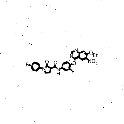 CCOc1cc2ncnc(Oc3ccc(NC(=O)C4CCN(c5ccc(F)cc5)C4=O)cc3F)c2cc1[N+](=O)[O-]